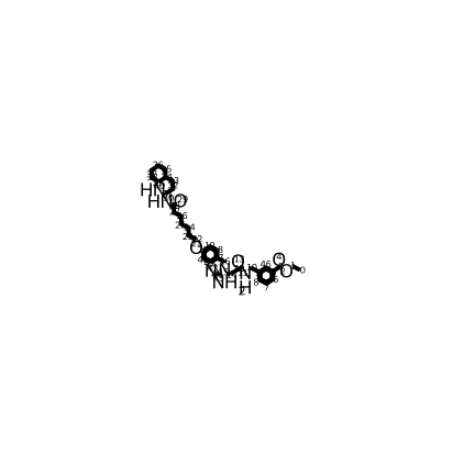 CCOC(=O)c1cccc(CNC(=O)CN2Cc3ccc(OCCCCCCC(=O)NC4CCC5CCCCC5N4)cc3N=C2N)c1